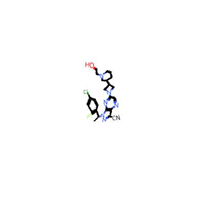 CC(c1ccc(Cl)cc1F)n1nc(C#N)c2ncc(N3CC(C4CCCN(CCO)C4)C3)nc21